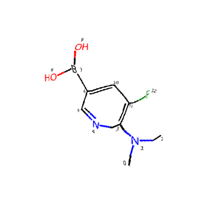 CN(C)c1ncc(B(O)O)cc1F